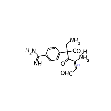 N=C(N)c1ccc(C(CN)(C(=O)O)C(=O)/C(N)=C\C=O)cc1